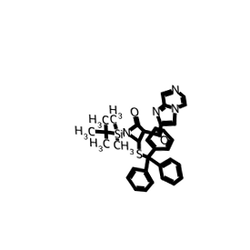 CC(C)(C)[Si](C)(C)N1C(=O)C(C(=O)c2cn3ccncc3n2)C1SC(c1ccccc1)(c1ccccc1)c1ccccc1